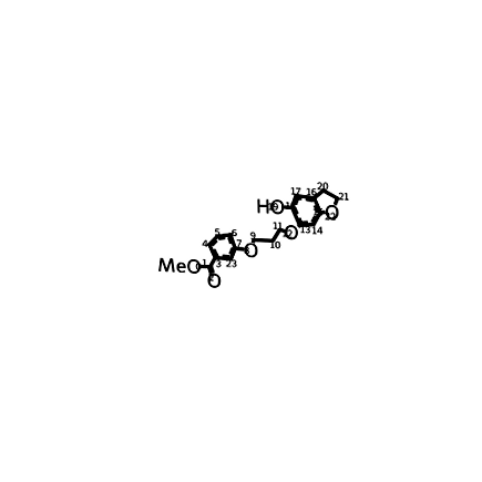 COC(=O)c1cccc(OCCCOc2cc3c(cc2O)CCO3)c1